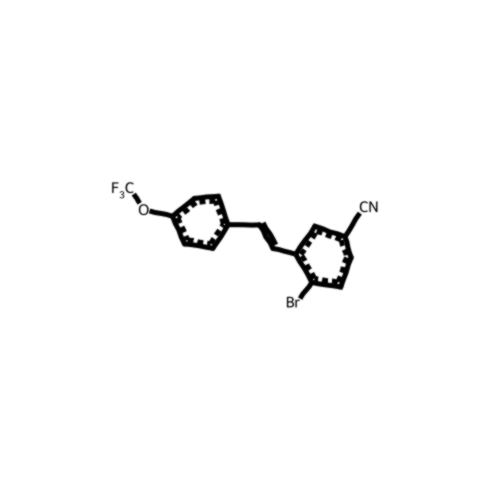 N#Cc1ccc(Br)c(C=Cc2ccc(OC(F)(F)F)cc2)c1